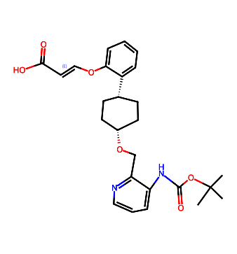 CC(C)(C)OC(=O)Nc1cccnc1CO[C@H]1CC[C@@H](c2ccccc2O/C=C/C(=O)O)CC1